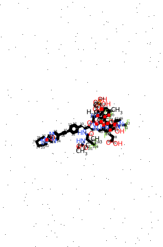 COC(=O)N[C@H](C(=O)N[C@@H](Cc1ccc(C#Cc2cnc(N3CC4CCC(C3)N4C3COC3)nc2)cc1)[C@H](CN(Cc1c(F)cc(-c2ccn(C(F)F)n2)cc1F)NC(=O)[C@@H](NC(=O)OC)C(C)(C)C(F)(F)F)OC(=O)CC(C)(C)c1c(CC(=O)N[C@@H](CCC(=O)O)C(=O)O)cc(C)cc1OP(=O)(O)O)C(C)(C)C(F)(F)F